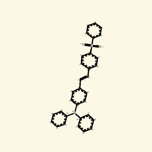 O=S(=O)(c1ccccc1)c1ccc(/C=C/c2ccc(N(c3ccccc3)c3ccccc3)cc2)cc1